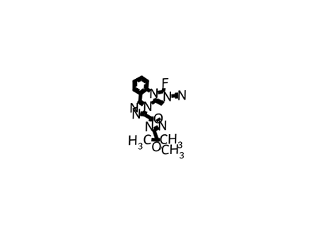 COC(C)(C)c1noc(-c2nnc3n2C2=CN(C#N)C(F)N2c2ccccc2-3)n1